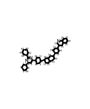 c1ccc(-c2cc(-c3ccc(-c4ccc5ccc(-c6ccc(-c7cnc8ccccc8c7)cc6)cc5c4)cc3)nc(-c3ccccc3)n2)cc1